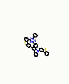 c1ccc(-c2nc(-c3ccccc3)nc(-c3cccc4sc5ccc(-c6ccc7c(c6)c6ccccc6n7-c6ccc7sc8ccccc8c7c6)cc5c34)n2)cc1